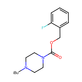 [CH2]CC(C)N1CCN(C(=O)OCc2ccccc2F)CC1